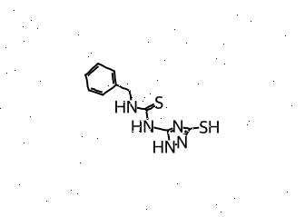 S=C(NCc1ccccc1)Nc1nc(S)n[nH]1